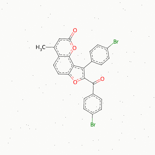 Cc1cc(=O)oc2c1ccc1oc(C(=O)c3ccc(Br)cc3)c(-c3ccc(Br)cc3)c12